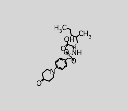 CCCC(C)C[C@H](NS(=O)(=O)c1ccc(N2CCC(=O)CC2)cc1)C(=O)O